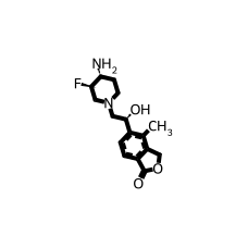 Cc1c([C@@H](O)CN2CC[C@@H](N)[C@H](F)C2)ccc2c1COC2=O